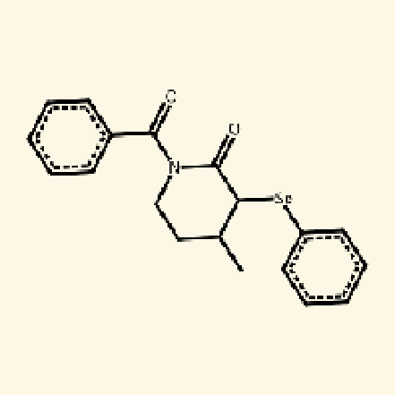 CC1CCN(C(=O)c2ccccc2)C(=O)C1[Se]c1ccccc1